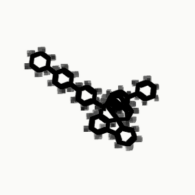 c1ccc(-c2ccc(N(c3ccc(-c4ccc(C5CCCCC5)cc4)cc3)c3cccc4c3C3(c5ccccc5-4)C4CC5CC(C4)CC3C5)cc2)cc1